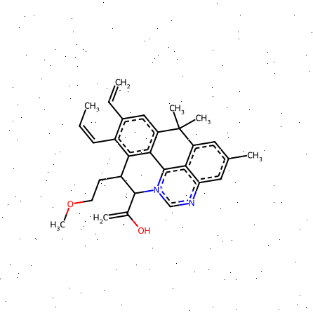 C=Cc1cc2c3c(c1/C=C\C)C(CCOC)C(C(=C)O)[n+]1cnc4cc(C)cc(c4c1-3)C2(C)C